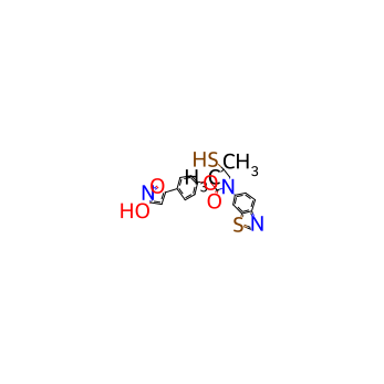 CC(C)(S)CN(C(=O)Oc1ccc(-c2cc(O)no2)cc1)c1ccc2ncsc2c1